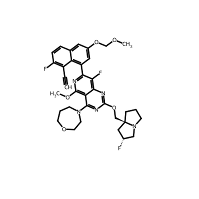 C#Cc1c(F)ccc2cc(OCOC)cc(-c3nc(OC)c4c(N5CCCOCC5)nc(OC[C@@]56CCCN5C[C@H](F)C6)nc4c3F)c12